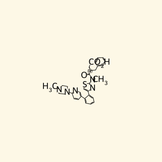 CN1CCN(c2ccc(-c3ccccc3-c3csc(N(C)C(=O)[C@@H](CC(=O)O)Cc4ccccc4)n3)cn2)CC1